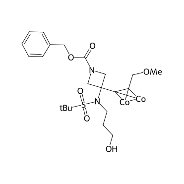 COC[C]12[Co]3[Co]1[C]32C1(N(CCCO)S(=O)(=O)C(C)(C)C)CN(C(=O)OCc2ccccc2)C1